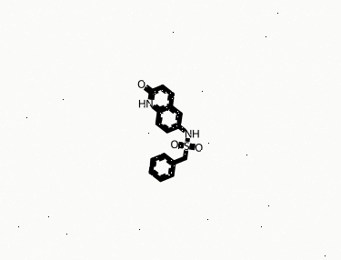 O=c1ccc2cc(NS(=O)(=O)Cc3ccccc3)ccc2[nH]1